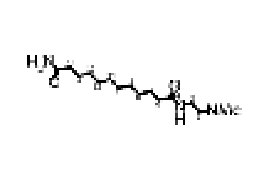 CNCCNC(=O)CCCCCCCCCCC(N)=O